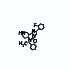 CC(c1ccccc1)n1c2c(c3nc(-c4ccccc4F)cn3c1=O)CNCC2